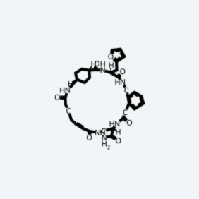 NC(=O)[C@@H]1CNC(=O)/C=C\CCCC(=O)N[C@H]2CC[C@H](CC2)C(=O)N[C@@H](Cc2ccco2)C(=O)NCc2ccccc2CC(=O)N1